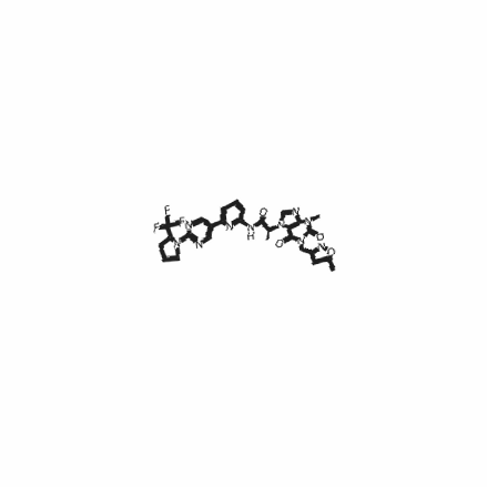 Cc1cc(Cn2c(=O)c3c(ncn3[C@@H](C)C(=O)Nc3cccc(-c4cnc(N5CCCC5C(F)(F)F)nc4)n3)n(C)c2=O)no1